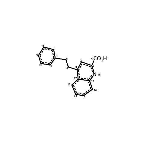 O=C(O)c1cc(CCc2ccccc2)c2ccccc2n1